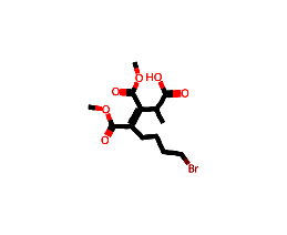 COC(=O)C(CCCCBr)=C(C(=O)OC)C(C)C(=O)O